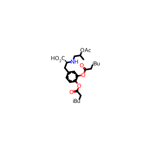 CCC(C)CC(=O)Oc1ccc(C[C@H](NCC(C)OC(C)=O)C(=O)O)cc1OC(=O)CC(C)CC